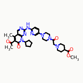 COC(=O)C1CCN(CC(=O)N2CCN(c3ccc(Nc4ncc5c(C)c(C(C)=O)c(=O)n(C6CCCC6)c5n4)nc3)CC2)CC1